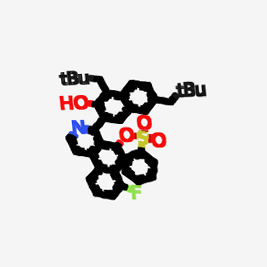 CC(C)(C)Cc1ccc2c(CC(C)(C)C)c(O)c(-c3nccc4c3c(OS(=O)(=O)c3ccccc3)cc3c(F)cccc34)cc2c1